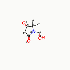 CC1(C)C(=O)CC(=O)N1CO